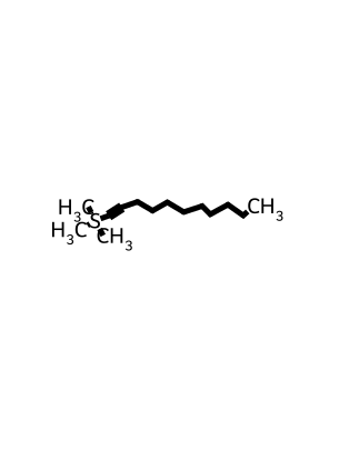 CCCCCCCCCC#CS(C)(C)C